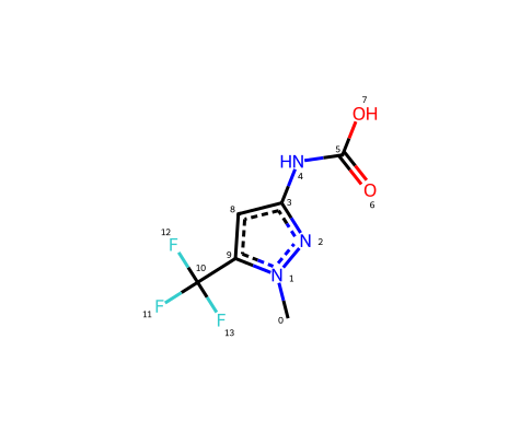 Cn1nc(NC(=O)O)cc1C(F)(F)F